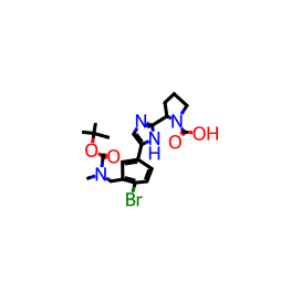 CN(Cc1cc(-c2cnc(C3CCCN3C(=O)O)[nH]2)ccc1Br)C(=O)OC(C)(C)C